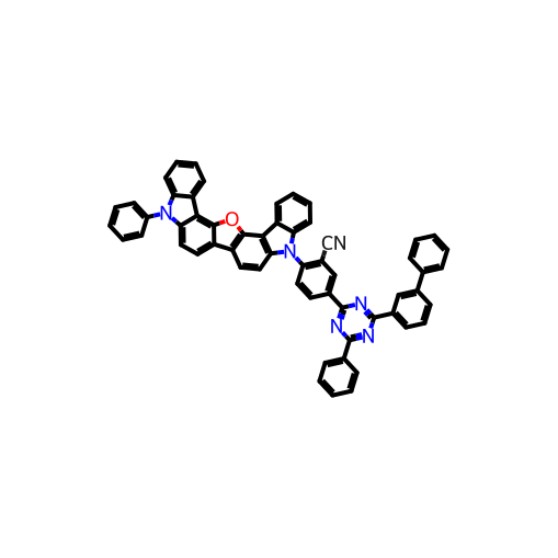 N#Cc1cc(-c2nc(-c3ccccc3)nc(-c3cccc(-c4ccccc4)c3)n2)ccc1-n1c2ccccc2c2c3oc4c(ccc5c4c4ccccc4n5-c4ccccc4)c3ccc21